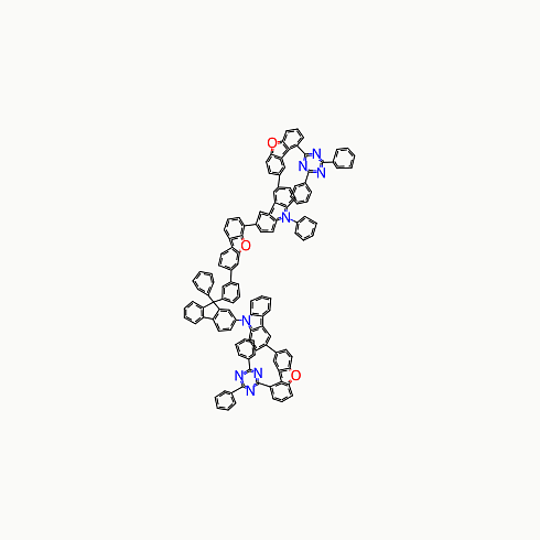 c1ccc(-c2nc(-c3ccccc3)nc(-c3cccc4oc5ccc(-c6ccc7c(c6)c6ccccc6n7-c6ccc7c(c6)C(c6ccccc6)(c6cccc(-c8ccc9c(c8)oc8c(-c%10ccc%11c(c%10)c%10cc(-c%12ccc%13oc%14cccc(-c%15nc(-c%16ccccc%16)nc(-c%16ccccc%16)n%15)c%14c%13c%12)ccc%10n%11-c%10ccccc%10)cccc89)c6)c6ccccc6-7)cc5c34)n2)cc1